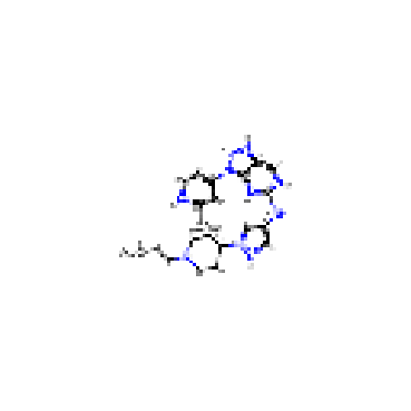 COCCN1CCC(n2cc(Nc3ncc4nnn(-c5ccnc(OC)c5)c4n3)cn2)CC1